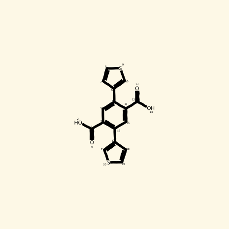 O=C(O)c1cc(-c2ccsc2)c(C(=O)O)cc1-c1ccsc1